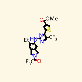 CCc1cc2c(cc1Nc1ncc(C(F)(F)F)c(-c3cc(C(=O)OC)cs3)n1)CN(C(=O)C(F)(F)F)C2